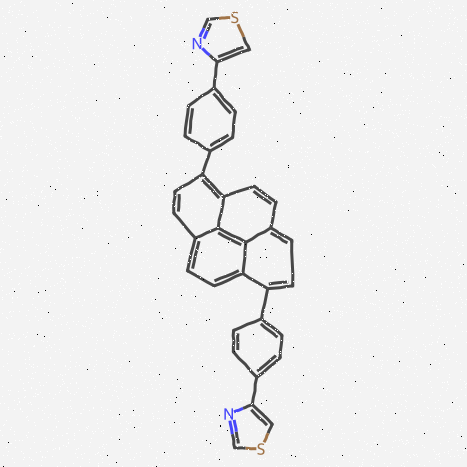 c1nc(-c2ccc(-c3ccc4ccc5c(-c6ccc(-c7cscn7)cc6)ccc6ccc3c4c65)cc2)cs1